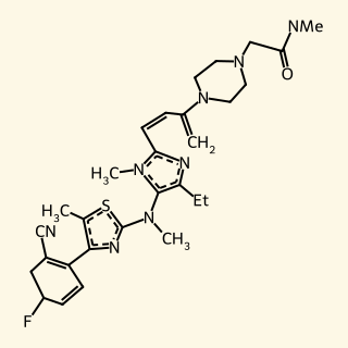 C=C(/C=C\c1nc(CC)c(N(C)c2nc(C3=C(C#N)CC(F)C=C3)c(C)s2)n1C)N1CCN(CC(=O)NC)CC1